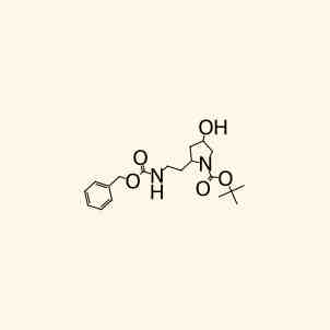 CC(C)(C)OC(=O)N1CC(O)CC1CCNC(=O)OCc1ccccc1